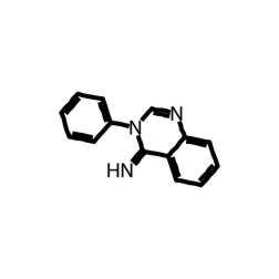 N=c1c2ccccc2ncn1-c1ccccc1